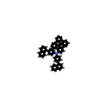 c1ccc2c(c1)-c1ccccc1C21c2ccccc2-c2ccc(N(c3ccc(-c4cccc5ccccc45)cc3)c3ccc(-c4cccc5ccccc45)cc3)cc21